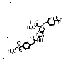 CCS(=O)(=O)c1ccc(CC(=O)Nc2nc3c(s2)CN(C[C@@H]2CCC(C(F)(F)F)OC2)C3C(C)C)cc1